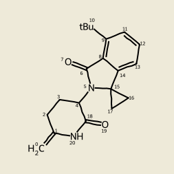 C=C1CCC(N2C(=O)c3c(C(C)(C)C)cccc3C23CC3)C(=O)N1